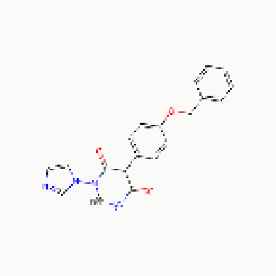 CCCN(C(=O)C(C(N)=O)c1ccc(OCc2ccccc2)cc1)n1ccnc1